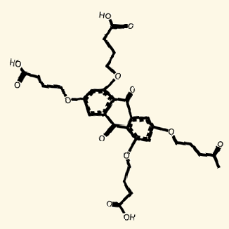 CC(=O)CCCOc1cc(OCCCC(=O)O)c2c(c1)C(=O)c1c(OCCCC(=O)O)cc(OCCCC(=O)O)cc1C2=O